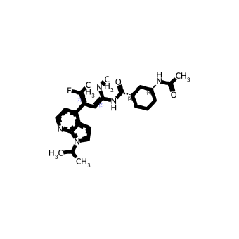 C=N/C(=C\C(=C(/C)F)c1ccnc2c1ccn2C(C)C)NC(=O)[C@H]1CCC[C@@H](NC(C)=O)C1